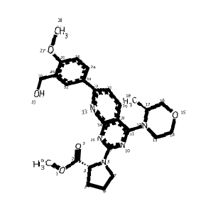 COC(=O)[C@H]1CCCN1c1nc(N2CCOC[C@@H]2C)c2ccc(-c3ccc(OC)c(CO)c3)nc2n1